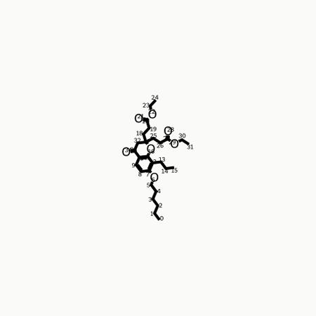 CCCCCCOc1ccc2c(c1CCC)OC(CCC(=O)OCC)(CCC(=O)OCC)CC2=O